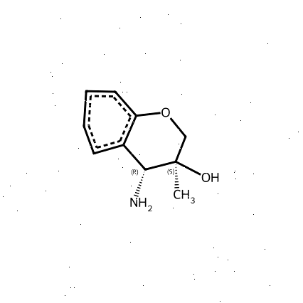 C[C@@]1(O)COc2ccccc2[C@H]1N